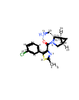 Cc1nc(C(=O)N2C[C@@H]3C[C@@H]3[C@H]2CN)c(-c2cccc(Cl)c2)s1